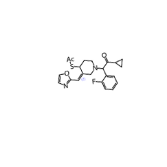 CC(=O)SC1CCN(C(C(=O)C2CC2)c2ccccc2F)C/C1=C/c1ncco1